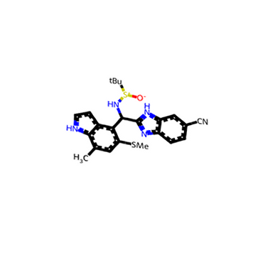 CSc1cc(C)c2[nH]ccc2c1C(N[S+]([O-])C(C)(C)C)c1nc2ccc(C#N)cc2[nH]1